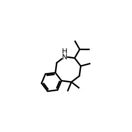 CC(C)C1NCc2ccccc2C(C)(C)CC1C